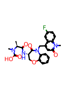 C[C@@H](C(=O)N[C@H]1COc2ccccc2N(Cc2cc(=O)n(C)c3ccc(F)cc23)C1=O)N(C)C(=O)O